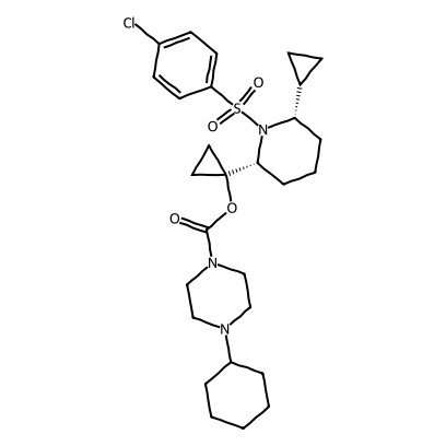 O=C(OC1([C@H]2CCC[C@@H](C3CC3)N2S(=O)(=O)c2ccc(Cl)cc2)CC1)N1CCN(C2CCCCC2)CC1